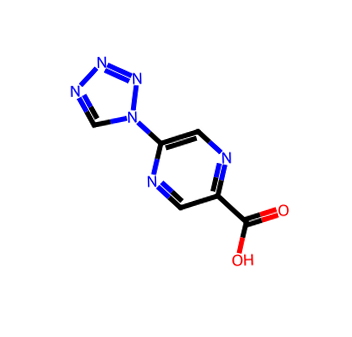 O=C(O)c1cnc(-n2cnnn2)cn1